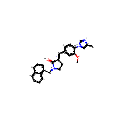 COc1cc(/C=C2\CCN(Cc3cccc4ccccc34)C2=O)ccc1-n1cnc(C)c1